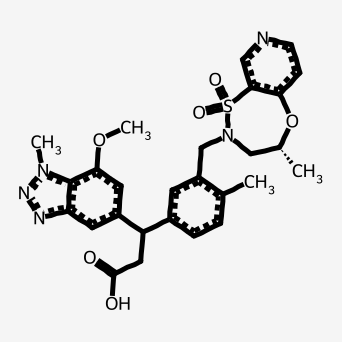 COc1cc(C(CC(=O)O)c2ccc(C)c(CN3C[C@@H](C)Oc4ccncc4S3(=O)=O)c2)cc2nnn(C)c12